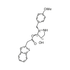 COc1ccc(C[C@H]2NC[C@H](O)[C@H]2OC(=O)Cc2cc3ccccc3s2)cc1